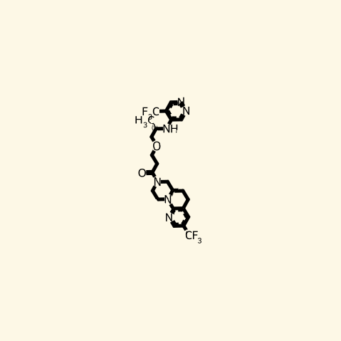 C[C@@H](COCCC(=O)N1CCN2c3ncc(C(F)(F)F)cc3CCC2C1)Nc1cnncc1C(F)(F)F